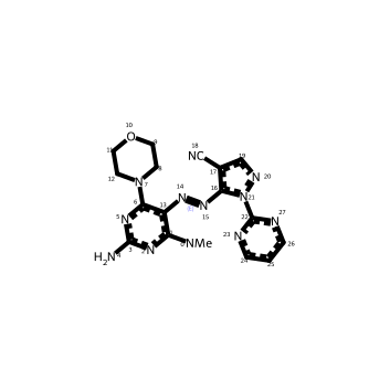 CNc1nc(N)nc(N2CCOCC2)c1/N=N/c1c(C#N)cnn1-c1ncccn1